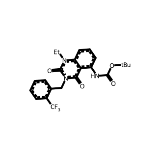 CCn1c(=O)n(Cc2ccccc2C(F)(F)F)c(=O)c2c(NC(=O)OC(C)(C)C)cccc21